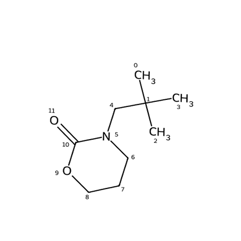 CC(C)(C)CN1CCCOC1=O